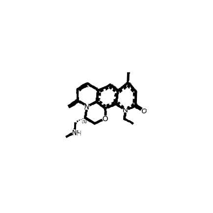 C=C1C=Cc2cc3c(C)cc(=O)n(CC)c3c3c2N1[C@@H](CNC)CO3